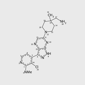 CNc1nccc(-c2n[nH]c3nc(N4CCC(C)(CN)CC4)cnc23)c1Cl